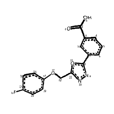 O=C(O)c1cccc(-c2nnc(COc3ccc(F)cc3)o2)c1